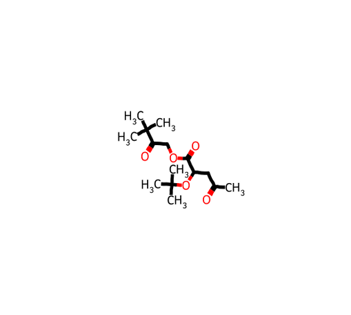 CC(=O)CC(OC(C)(C)C)C(=O)OCC(=O)C(C)(C)C